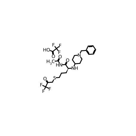 CC(=O)NC(=O)[C@H](CCCSCC(=O)C(F)(F)F)NC1CCN(Cc2ccccc2)CC1.O=C(O)C(F)(F)F